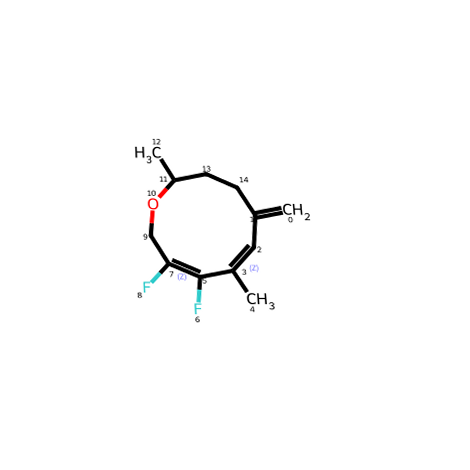 C=C1/C=C(C)\C(F)=C(\F)COC(C)CC1